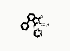 O=C(O)N1C(=O)c2cccc(-c3ccccc3)c2C1=O.c1cnnnc1